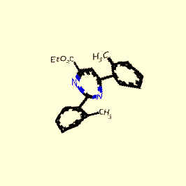 CCOC(=O)c1cc(-c2ccccc2C)nc(-c2ccccc2C)n1